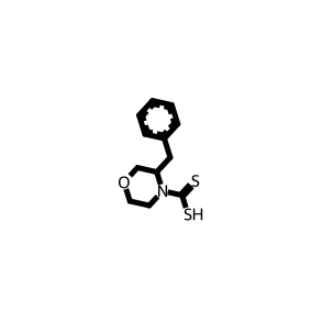 S=C(S)N1CCOCC1Cc1ccccc1